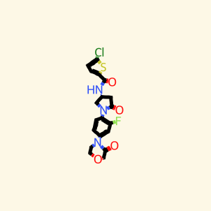 O=C(N[C@@H]1CC(=O)N(c2ccc(N3CCOCC3=O)cc2F)C1)c1ccc(Cl)s1